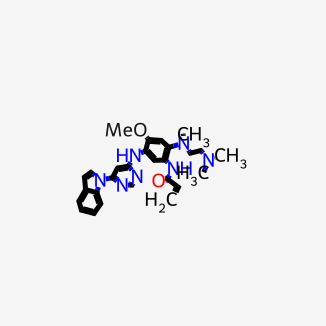 C=CC(=O)Nc1cc(Nc2cc(-n3ccc4ccccc43)ncn2)c(OC)cc1N(C)CCN(C)C